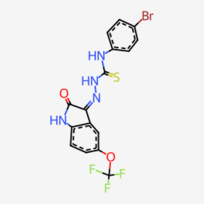 O=C1Nc2ccc(OC(F)(F)F)cc2/C1=N/NC(=S)Nc1ccc(Br)cc1